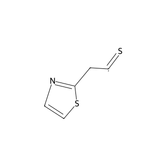 S=[C]Cc1nccs1